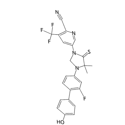 CC1(C)C(=S)N(c2cnc(C#N)c(C(F)(F)F)c2)CN1c1ccc(-c2ccc(O)cc2)c(F)c1